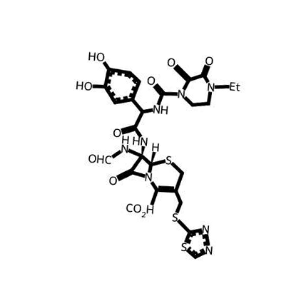 CCN1CCN(C(=O)NC(C(=O)N[C@]2(NC=O)C(=O)N3C(C(=O)O)=C(CSc4nncs4)CS[C@H]32)c2ccc(O)c(O)c2)C(=O)C1=O